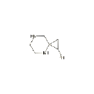 [2H]C1CC12CNCCN2